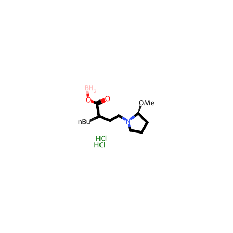 BOC(=O)C(CCCC)CCN1CCC[C@@H]1OC.Cl.Cl